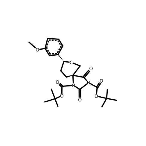 COc1cccc([C@H]2CC[C@@]3(CC2)C(=O)N(C(=O)OC(C)(C)C)C(=O)N3C(=O)OC(C)(C)C)c1